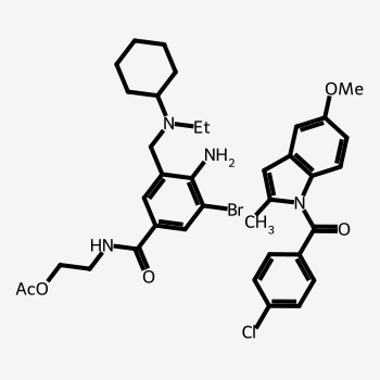 CCN(Cc1cc(C(=O)NCCOC(C)=O)cc(Br)c1N)C1CCCCC1.COc1ccc2c(c1)cc(C)n2C(=O)c1ccc(Cl)cc1